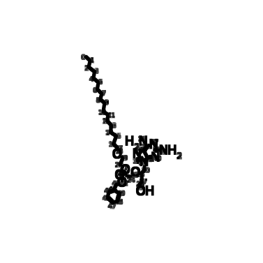 CCCCCCCCCCCCCCCCCCOCCOP(=O)(COC(CCO)Cn1cnc2c(N)nc(N)nc21)OCc1ccccc1